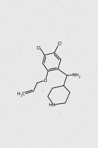 C=CCOc1cc(Cl)c(Cl)cc1C(N)C1CCNCC1